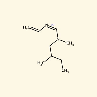 C=C/N=C\N(C)CC(C)CC